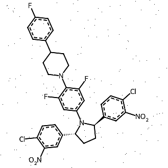 O=[N+]([O-])c1cc([C@H]2CC[C@H](c3ccc(Cl)c([N+](=O)[O-])c3)N2c2cc(F)c(N3CCC(c4ccc(F)cc4)CC3)c(F)c2)ccc1Cl